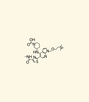 CNC(=O)c1csc(-c2cnc3c(ccn3COCC[Si](C)(C)C)c2NC2CCCN(C(=O)O)C2)n1